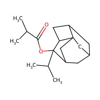 CC(C)C(=O)OC1(C(C)C)C2CC3CC4CC1C4(C3)C2